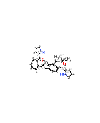 CC1(C)Cc2cc(CC3(C)Cc4ccccc4[C@H]([C@@H]4CCCN4)O3)ccc2[C@@H]([C@@H]2CCCN2)O1